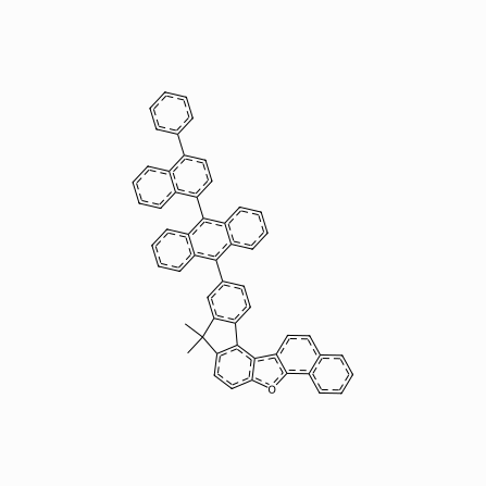 CC1(C)c2cc(-c3c4ccccc4c(-c4ccc(-c5ccccc5)c5ccccc45)c4ccccc34)ccc2-c2c1ccc1oc3c4ccccc4ccc3c21